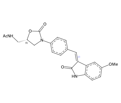 COc1ccc2c(c1)/C(=C/c1ccc(N3C[C@H](CNC(C)=O)OC3=O)cc1)C(=O)N2